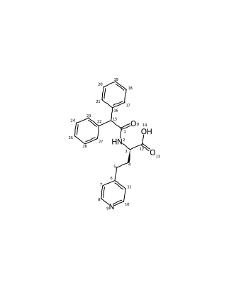 O=C(N[C@H](CCc1ccncc1)C(=O)O)C(c1ccccc1)c1ccccc1